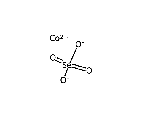 O=[Se](=O)([O-])[O-].[Co+2]